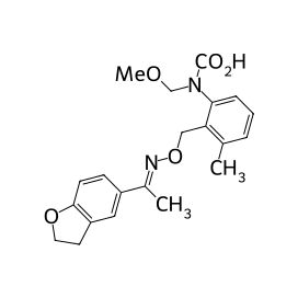 COCN(C(=O)O)c1cccc(C)c1CON=C(C)c1ccc2c(c1)CCO2